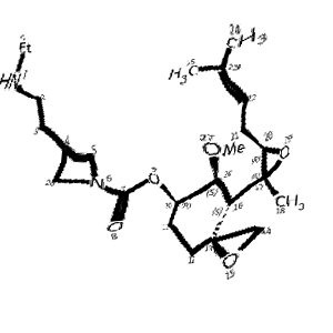 CCNCCC1CN(C(=O)O[C@@H]2CCC3(CO3)[C@@H]([C@@]3(C)O[C@@H]3CC=C(C)C)[C@@H]2OC)C1